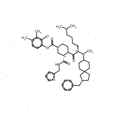 Cc1ccc(OC(=O)N2CCN(C(=O)[C@@H](CCCCN(C)C)N(C)C3CCC4(CC3)CCN(Cc3ccccc3)C4)[C@H](C(=O)NCc3cccs3)C2)c(Cl)c1C